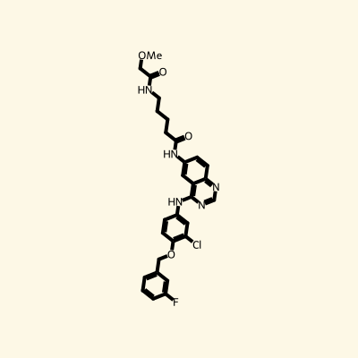 COCC(=O)NCCCCC(=O)Nc1ccc2ncnc(Nc3ccc(OCc4cccc(F)c4)c(Cl)c3)c2c1